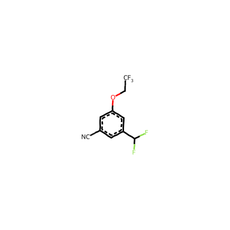 N#Cc1cc(OCC(F)(F)F)cc(C(F)F)c1